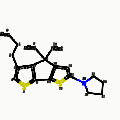 CCCCCCCCCCCCc1csc2c1C(CCCCCCCC)(CCCCCCCC)c1cc(N3CCCC3)sc1-2